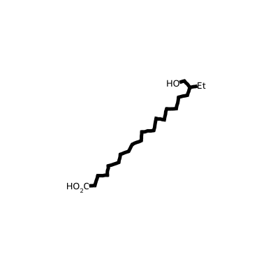 CCC(CO)CCCCCCCCCCCCCCCCCC(=O)O